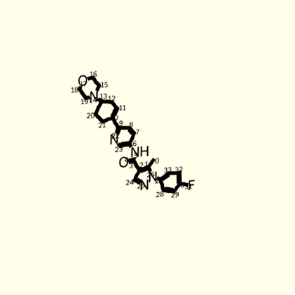 Cc1c(C(=O)Nc2ccc(C3=CCC(N4CCOCC4)CC3)nc2)cnn1-c1ccc(F)cc1